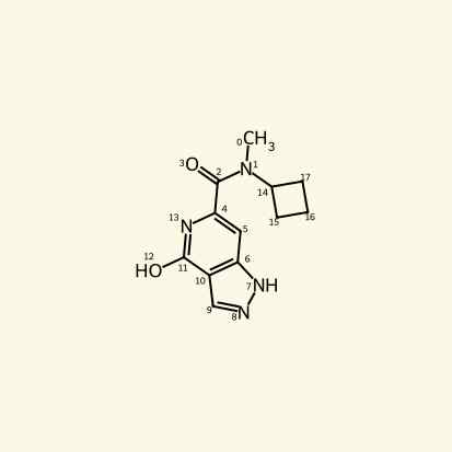 CN(C(=O)c1cc2[nH]ncc2c(O)n1)C1CCC1